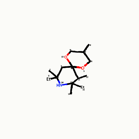 CCC1(C)CC2(OCC(C)CO2)C(C)C(C)(CC)N1